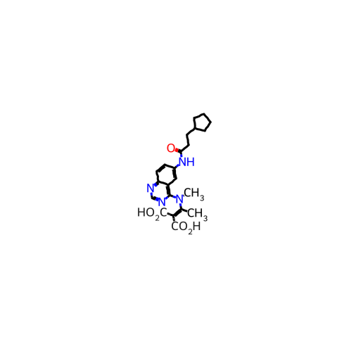 CC(=C(C(=O)O)C(=O)O)N(C)c1ncnc2ccc(NC(=O)CCC3CCCC3)cc12